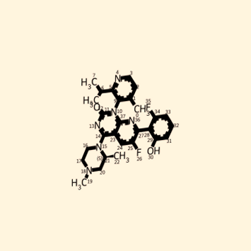 Cc1ccnc(C(C)C)c1-n1c(=O)nc(N2CCN(C)C[C@@H]2C)c2cc(F)c(-c3c(O)cccc3F)nc21